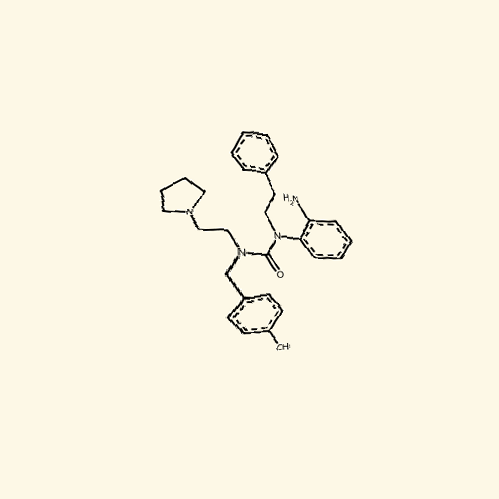 [CH]c1ccc(CN(CCN2CCCC2)C(=O)N(CCc2ccccc2)c2ccccc2N)cc1